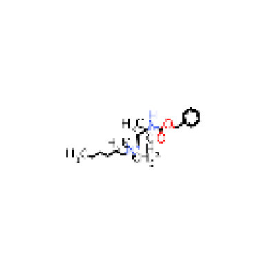 CCCCCC[N+](C)(C)CCC(C)(C)NC(=O)OCc1ccccc1